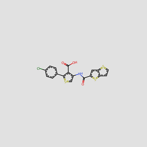 O=C(Nc1csc(-c2ccc(Cl)cc2)c1C(=O)O)c1cc2sccc2s1